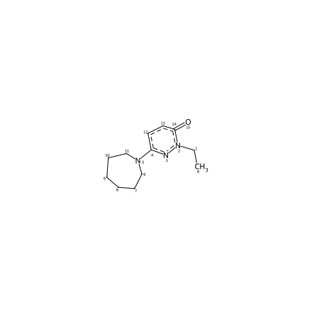 CCn1nc(N2CCCCCC2)ccc1=O